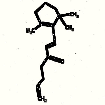 C=CCCC(=O)C=CC1=C(C)CCCC1(C)C